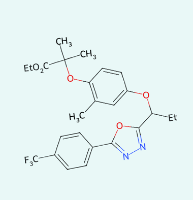 CCOC(=O)C(C)(C)Oc1ccc(OC(CC)c2nnc(-c3ccc(C(F)(F)F)cc3)o2)cc1C